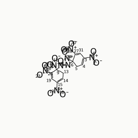 O=[N+]([O-])C1=CCC(N=NC2([N+](=O)[O-])CC=C([N+](=O)[O-])C=C2[N+](=O)[O-])([N+](=O)[O-])C([N+](=O)[O-])=C1